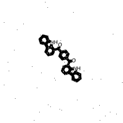 O=C(c1ccc(C(=O)c2cccc3c2[nH]c2ccccc23)cc1)c1cccc2c1[nH]c1ccccc12